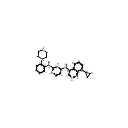 c1ccc(N2CCOCC2)c(Nc2nccc(Nc3cnnc4c(C5CC5)cccc34)n2)c1